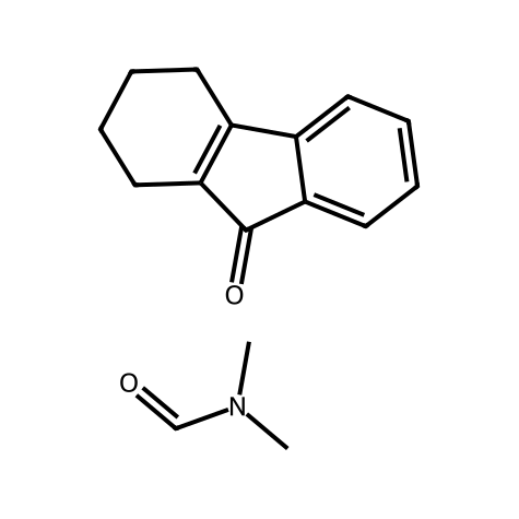 CN(C)C=O.O=C1C2=C(CCCC2)c2ccccc21